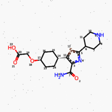 NC(=O)c1nc(C2CCNCC2)sc1[C@H]1CC[C@H](OCC(=O)O)CC1